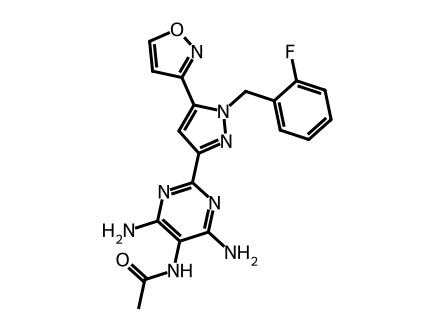 CC(=O)Nc1c(N)nc(-c2cc(-c3ccon3)n(Cc3ccccc3F)n2)nc1N